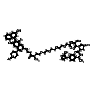 CC(=O)N1CCN(c2nc(NCCC(=O)N(C)CCOCCOCCOCCOCC(=O)N[C@H](C(=O)N3C[C@H](O)C[C@H]3C(=O)N[C@@H](C)c3ccc(-c4scnc4C)cc3)C(C)(C)C)nc3c(F)c(-c4cc(O)cc5ccccc45)c(Cl)cc23)CC1